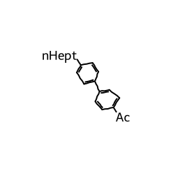 CCCCCCCc1ccc(-c2ccc(C(C)=O)cc2)cc1